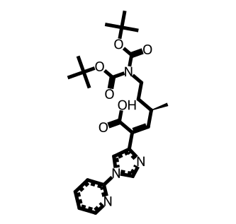 C[C@@H](C=C(C(=O)O)c1cn(-c2ccccn2)cn1)CCN(C(=O)OC(C)(C)C)C(=O)OC(C)(C)C